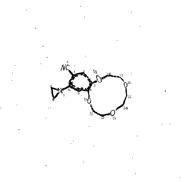 N#Cc1cc2c(cc1N1CC1)OCCOCCOCCO2